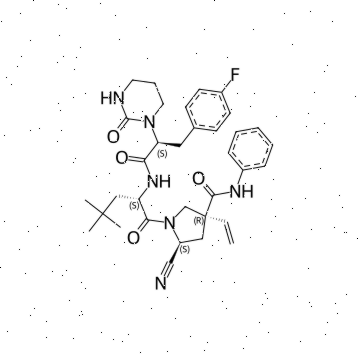 C=C[C@]1(C(=O)Nc2ccccc2)C[C@@H](C#N)N(C(=O)[C@H](CC(C)(C)C)NC(=O)[C@H](Cc2ccc(F)cc2)N2CCCNC2=O)C1